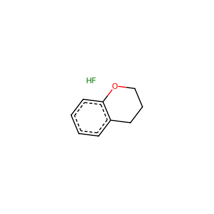 F.c1ccc2c(c1)CCCO2